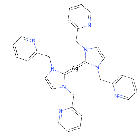 c1ccc(Cn2ccn(Cc3ccccn3)[c]2=[Ag]=[c]2n(Cc3ccccn3)ccn2Cc2ccccn2)nc1